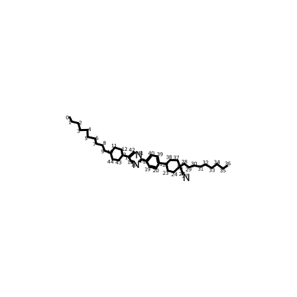 CCCCCCCCCCC1CCC(c2cnc(-c3ccc(C4CCC(C#N)(CCCCCCCCC)CC4)cc3)nc2)CC1